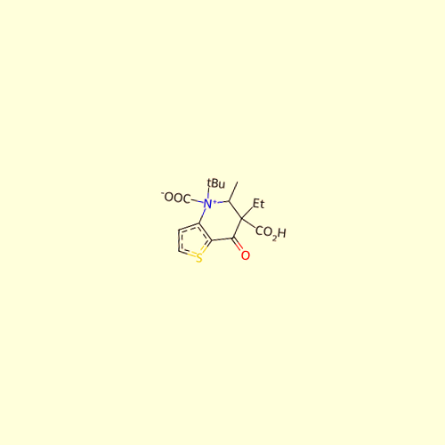 CCC1(C(=O)O)C(=O)c2sccc2[N+](C(=O)[O-])(C(C)(C)C)C1C